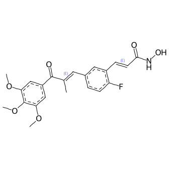 COc1cc(C(=O)/C(C)=C/c2ccc(F)c(/C=C/C(=O)NO)c2)cc(OC)c1OC